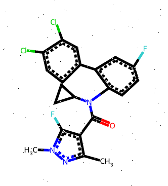 Cc1nn(C)c(F)c1C(=O)N(c1ccc(F)cc1-c1ccc(Cl)c(Cl)c1)C1CC1